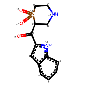 O=C(c1cc2ccccc2[nH]1)C1CNCCS1(=O)=O